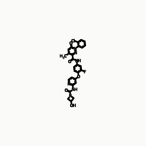 Cc1cc(=O)n(-c2ccccc2Cl)nc1C(=O)Nc1ccc(Oc2ccnc(NC(=O)N3CC(O)C3)c2)c(F)c1